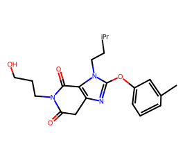 Cc1cccc(Oc2nc3c(n2CCC(C)C)C(=O)N(CCCO)C(=O)C3)c1